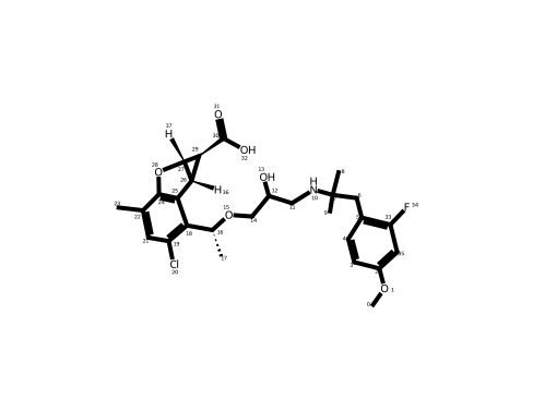 COc1ccc(CC(C)(C)NCC(O)CO[C@H](C)c2c(Cl)cc(C)c3c2[C@@H]2[C@H](O3)[C@H]2C(=O)O)c(F)c1